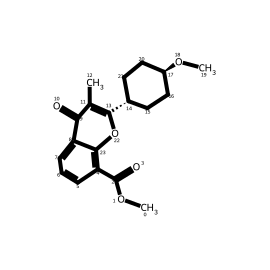 COC(=O)c1cccc2c(=O)c(C)c([C@H]3CC[C@H](OC)CC3)oc12